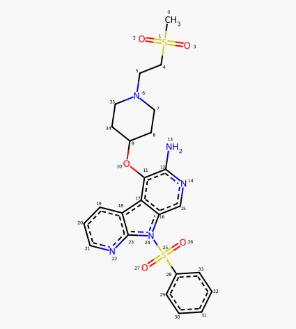 CS(=O)(=O)CCN1CCC(Oc2c(N)ncc3c2c2cccnc2n3S(=O)(=O)c2ccccc2)CC1